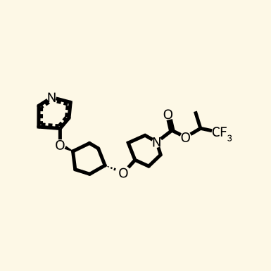 CC(OC(=O)N1CCC(O[C@H]2CC[C@H](Oc3ccncc3)CC2)CC1)C(F)(F)F